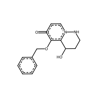 O=c1ccn2c(c1OCc1ccccc1)C(O)CCN2